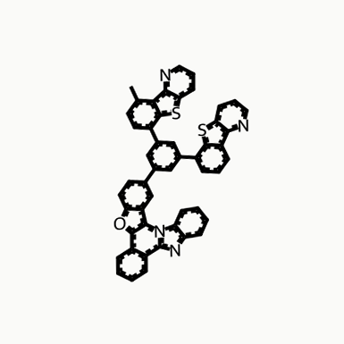 Cc1ccc(-c2cc(-c3ccc4oc5c6ccccc6c6nc7ccccc7n6c5c4c3)cc(-c3cccc4c3sc3cccnc34)c2)c2sc3cccnc3c12